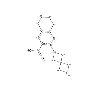 O=C(O)c1cc2c(nc1N1CC3(COC3)C1)CCCC2